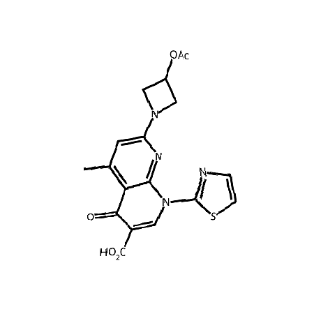 CC(=O)OC1CN(c2cc(C)c3c(=O)c(C(=O)O)cn(-c4nccs4)c3n2)C1